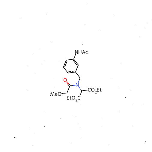 CCOC(=O)C(C(=O)OCC)N(Cc1cccc(NC(C)=O)c1)C(=O)COC